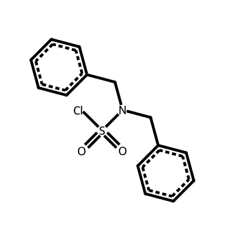 O=S(=O)(Cl)N(Cc1ccccc1)Cc1ccccc1